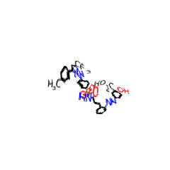 Cc1ccc(-c2cc(C(F)(F)F)nn2-c2ccc(S(=O)(=O)NC(=O)CCc3ccccc3/N=N/c3ccc(O)c(C(=O)O)c3)cc2)cc1